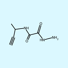 C#CC(C)NC(=O)C(=O)NN